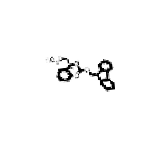 O=C(O)C[C@@H](OC(=O)OCC1c2ccccc2-c2ccccc21)c1ccccc1